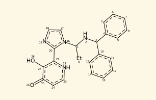 CCC(NC(c1ccccc1)c1ccccc1)n1ccnc1-c1[nH]ccc(=O)c1O